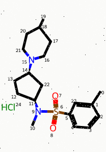 Cc1cccc(S(=O)(=O)N(C)[C@H]2CC[C@@H](N3CCC(C)CC3)C2)c1.Cl